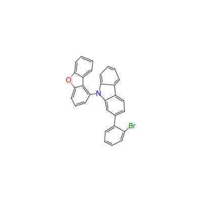 Brc1ccccc1-c1ccc2c3ccccc3n(-c3cccc4oc5ccccc5c34)c2c1